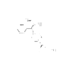 CC(C)(C)OC(=O)N1CCN(c2c(N)cnc3ccccc23)CC1